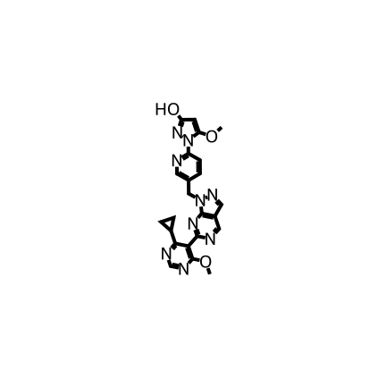 COc1ncnc(C2CC2)c1-c1ncc2cnn(Cc3ccc(-n4nc(O)cc4OC)nc3)c2n1